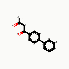 O=C(CC(=O)C(F)(F)F)c1ccc(-c2ccccc2)cc1